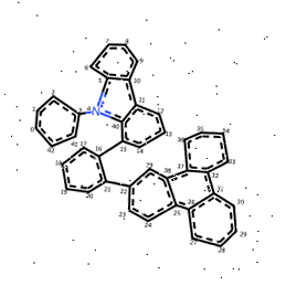 c1ccc(-n2c3ccccc3c3cccc(-c4ccccc4-c4ccc5c6ccccc6c6ccccc6c5c4)c32)cc1